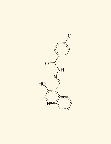 O=C(N/N=C/c1c(O)cnc2ccccc12)c1ccc(Cl)cc1